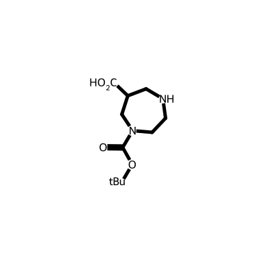 CC(C)(C)OC(=O)N1CCNCC(C(=O)O)C1